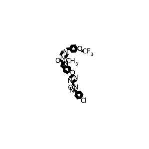 Cn1c(C(=O)N2CCN(Cc3ccc(OCC(F)(F)F)cc3)CC2)cc2ccc(Oc3cnc(-c4nc(-c5ccc(Cl)cc5)no4)cn3)cc21